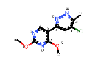 COc1ncc(-c2cc(Cl)c(C)nn2)c(OC)n1